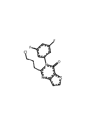 O=c1c2sccc2nc(CCCCl)n1-c1cc(F)cc(F)c1